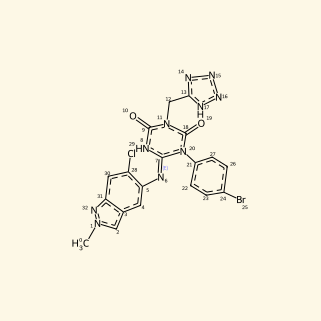 Cn1cc2cc(/N=c3\[nH]c(=O)n(Cc4nnn[nH]4)c(=O)n3-c3ccc(Br)cc3)c(Cl)cc2n1